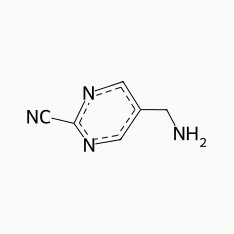 N#Cc1ncc(CN)cn1